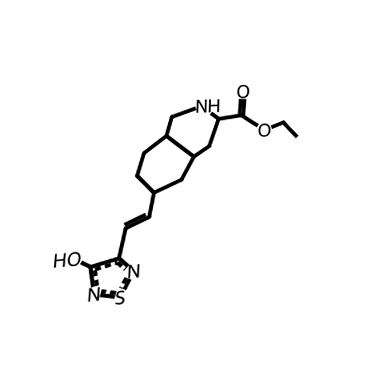 CCOC(=O)C1CC2CC(C=Cc3nsnc3O)CCC2CN1